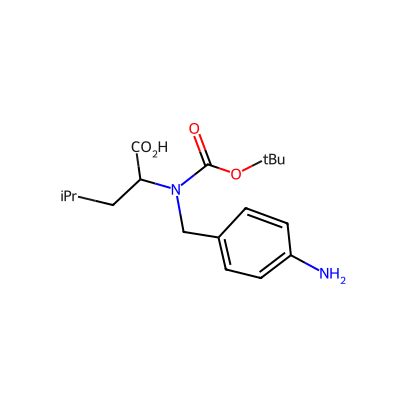 CC(C)CC(C(=O)O)N(Cc1ccc(N)cc1)C(=O)OC(C)(C)C